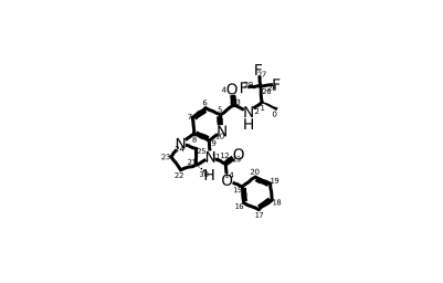 C[C@@H](NC(=O)c1ccc2c(n1)N(C(=O)Oc1ccccc1)[C@H]1CCN2C1)C(F)(F)F